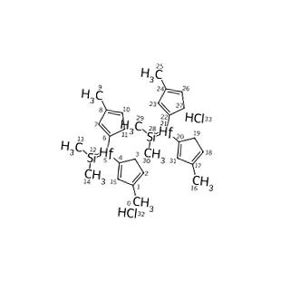 CC1=CC[C]([Hf]([C]2=CC(C)=CC2)=[Si](C)C)=C1.CC1=CC[C]([Hf]([C]2=CC(C)=CC2)=[Si](C)C)=C1.Cl.Cl